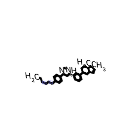 C=C/C=C\C=C\c1ccc(C2=C[C@H](c3cccc(C4=CC5C=CC(C)(C)C5CC4)c3)NC=N2)cc1